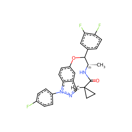 C[C@H](NC(=O)C1(C)CC1)C(Oc1ccc2c(cnn2-c2ccc(F)cc2)c1)c1ccc(F)c(F)c1